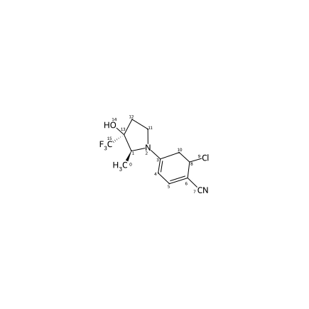 C[C@@H]1N(C2=CC=C(C#N)C(Cl)C2)CC[C@@]1(O)C(F)(F)F